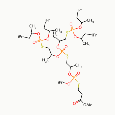 COC(=O)CCSP(=O)(OC(C)C)OC(C)CSP(=O)(OC(C)CSP(=O)(OC(C)CC(C)C)OC(C)CC(C)C)OC(C)CSP(=O)(OC(C)CC(C)C)OC(C)CC(C)C